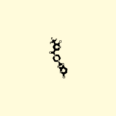 O=C(c1cnc(Cl)c(C(F)(F)F)c1)N1CCN(c2nc3nc(Cl)ccc3o2)CC1